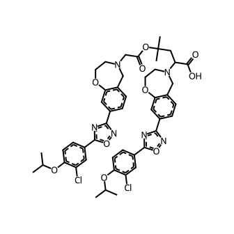 CC(C)Oc1ccc(-c2nc(-c3ccc4c(c3)OCCN(CC(=O)OC(C)(C)CC(C(=O)O)N3CCOc5cc(-c6noc(-c7ccc(OC(C)C)c(Cl)c7)n6)ccc5C3)C4)no2)cc1Cl